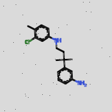 Cc1ccc(NCCC(C)(C)c2cccc(N)c2)cc1Cl